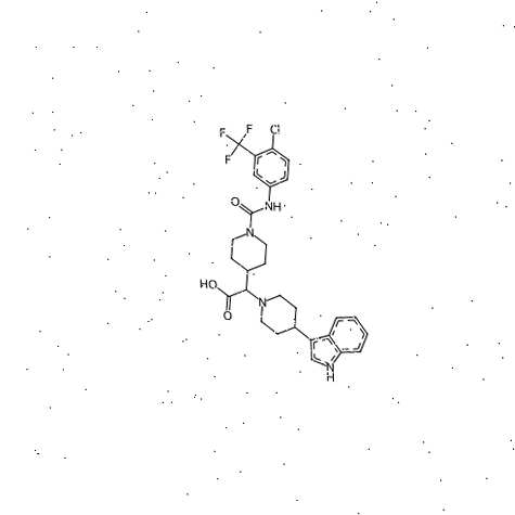 O=C(O)C(C1CCN(C(=O)Nc2ccc(Cl)c(C(F)(F)F)c2)CC1)N1CCC(c2c[nH]c3ccccc23)CC1